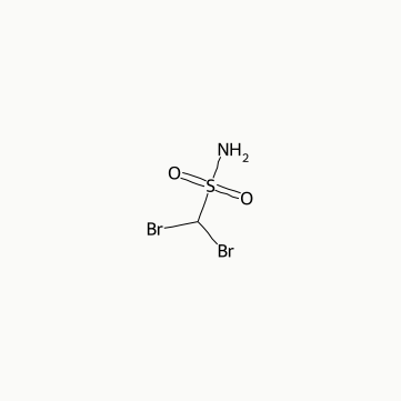 NS(=O)(=O)C(Br)Br